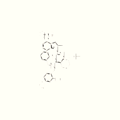 COc1ccc(CN(Cc2ccccc2)c2nc(-n3c(C)cc4c([N+](=O)[O-])cccc43)nc3c2CCCC3O)c(OC)c1